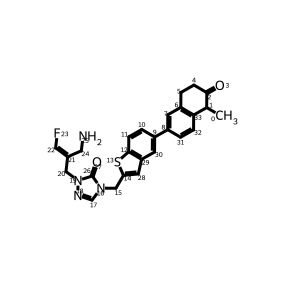 CC1C(=O)CCc2cc(-c3ccc4sc(Cn5cnn(C/C(=C/F)CN)c5=O)cc4c3)ccc21